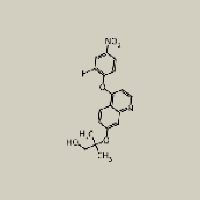 CC(C)(CO)Oc1ccc2c(Oc3ccc([N+](=O)[O-])cc3F)ccnc2c1